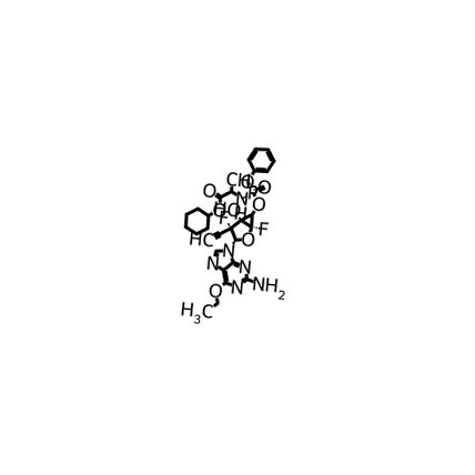 C#C[C@]1(F)[C@H](n2cnc3c(OCC)nc(N)nc32)O[C@]2(F)C(O[P@@](=O)(NC(C)C(=O)OC3CCCCC3)Oc3ccccc3)[C@@]21O